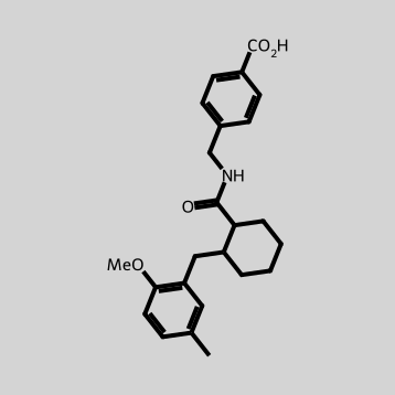 COc1ccc(C)cc1CC1CCCCC1C(=O)NCc1ccc(C(=O)O)cc1